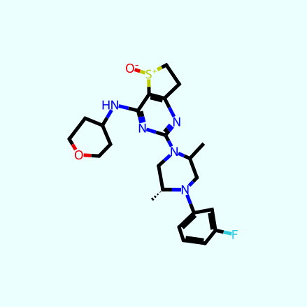 CC1CN(c2cccc(F)c2)[C@H](C)CN1c1nc2c(c(NC3CCOCC3)n1)[S+]([O-])CC2